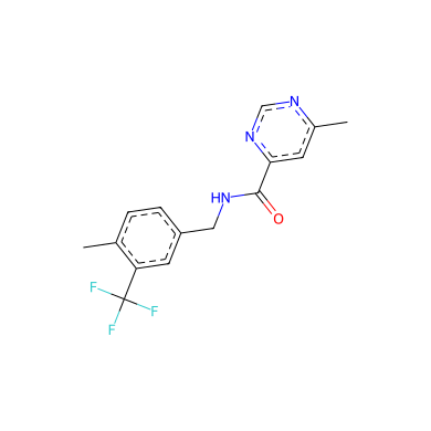 Cc1cc(C(=O)NCc2ccc(C)c(C(F)(F)F)c2)ncn1